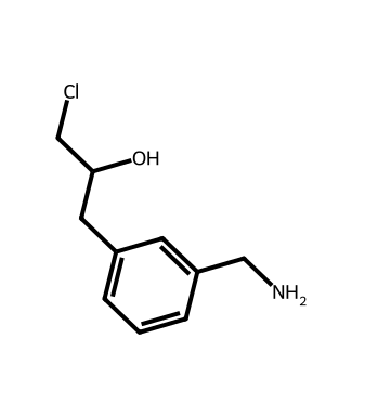 NCc1cccc(CC(O)CCl)c1